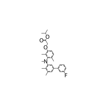 Cc1cc(-c2cccc(F)c2)cc(N(C)c2c(C)ccc(OCC(=O)OC(C)C)c2C)c1C